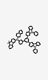 CC1(C)c2ccccc2-c2cc(N(c3cccc(-c4cc(-c5ccc6c(c5)c5ccccc5n6-c5ccccc5)cc(-c5ccc6c7ccccc7n(-c7ccccc7)c6c5)c4)c3)c3ccc4ccccc4c3)ccc21